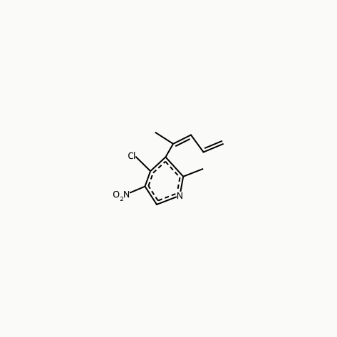 C=C/C=C(/C)c1c(C)ncc([N+](=O)[O-])c1Cl